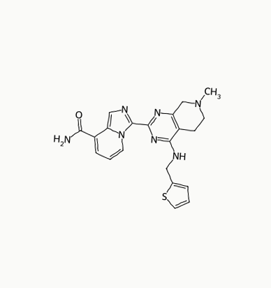 CN1CCc2c(nc(-c3ncc4c(C(N)=O)cccn34)nc2NCc2cccs2)C1